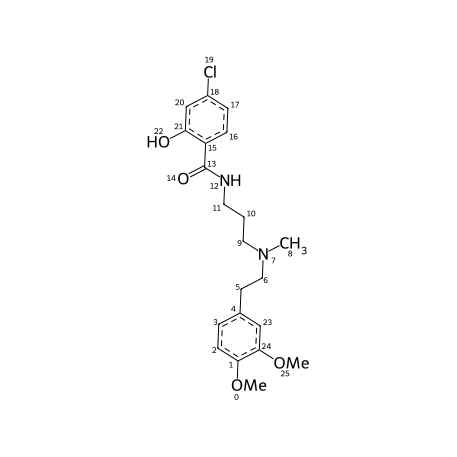 COc1ccc(CCN(C)CCCNC(=O)c2ccc(Cl)cc2O)cc1OC